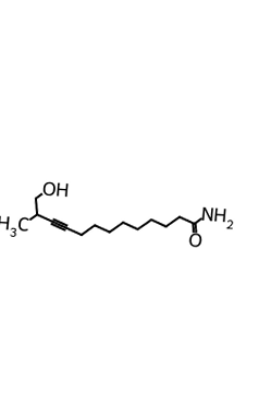 CC(C#CCCCCCCCCC(N)=O)CO